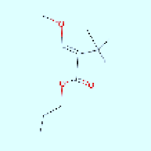 CCCOC(=O)C(=COC)C(C)(C)C